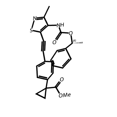 COC(=O)C1(c2ccc(C#Cc3snc(C)c3NC(=O)O[C@H](C)c3ccccc3)cc2)CC1